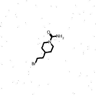 NC(=O)N1CCC(CCBr)CC1